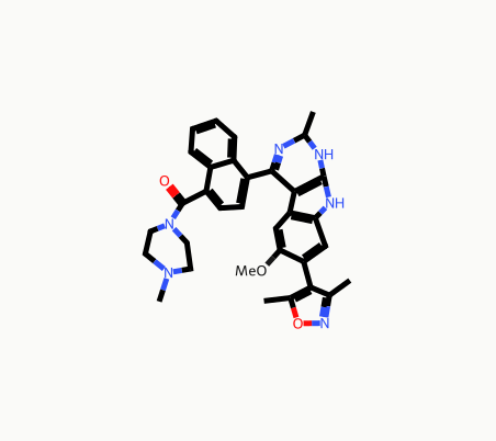 COc1cc2c3c([nH]c2cc1-c1c(C)noc1C)NC(C)N=C3c1ccc(C(=O)N2CCN(C)CC2)c2ccccc12